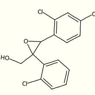 OCC1(c2ccccc2Cl)OC1c1ccc(Cl)cc1Cl